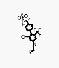 C[C@@H](NS(C)(=O)=O)c1ccc(-c2c(Cl)cc(N=CC=S)cc2C(F)(F)F)cc1